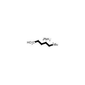 CCCCCCCCC(=O)O.[PbH2]